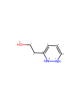 OCCC1=CC=[C]NN1